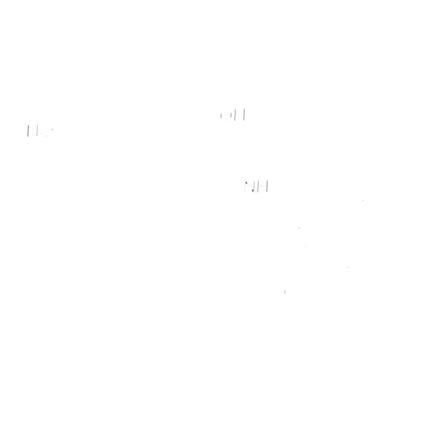 Oc1ccc(C(O)CNCC23CC4CC(CC(C4)C2)C3)cc1